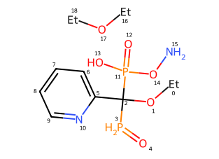 CCOC([PH2]=O)(c1ccccn1)P(=O)(O)ON.CCOCC